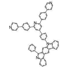 c1ccc(-c2nc3ccccc3c3cc4c5ccccc5n(-c5ccc(-c6cc(-c7ccc(-c8ccncc8)cc7)nc(-c7ccc(-c8ccncc8)cc7)c6)cc5)c4cc23)cc1